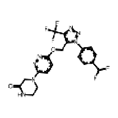 O=C1CN(c2ccc(OCc3c(C(F)(F)F)nnn3-c3ccc(C(F)F)cc3)nn2)CCN1